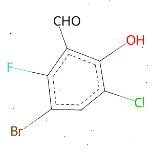 O=Cc1c(O)c(Cl)cc(Br)c1F